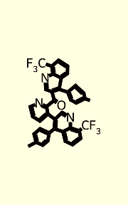 Cc1ccc(-c2c(C(=O)c3ncccc3-c3cnc4c(C(F)(F)F)cccc4c3-c3ccc(C)cc3)cnc3c(C(F)(F)F)cccc23)cc1